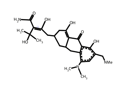 CNCc1cc(N(C)C)c2c(c1O)C(=O)C1=C(O)CC(C/C(O)=C(/C(N)=O)C(C)(C)O)CC1C2